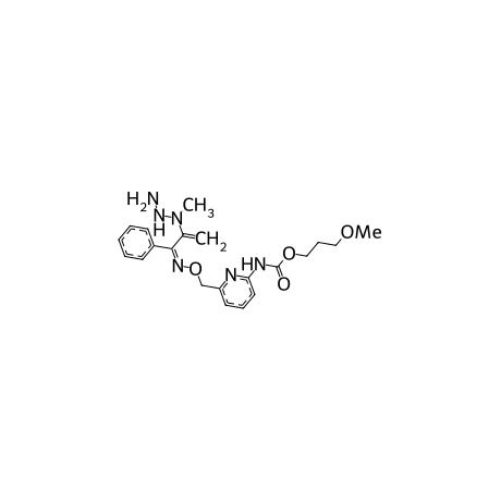 C=C(/C(=N\OCc1cccc(NC(=O)OCCCOC)n1)c1ccccc1)N(C)NN